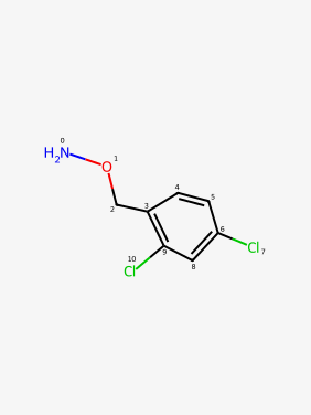 NOCc1ccc(Cl)cc1Cl